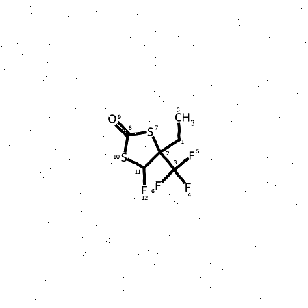 CCC1(C(F)(F)F)SC(=O)SC1F